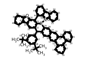 CC(C)(C)c1cc(C2c3cc4cc5c6ccccc6c6ccccc6c5cc4cc3B3c4c2cc2c(oc5ccccc52)c4-c2cccc4c5ccccc5n3c24)cc(C(C)(C)C)c1